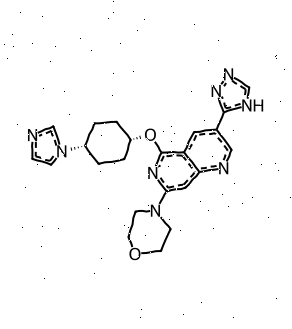 c1cn([C@H]2CC[C@@H](Oc3nc(N4CCOCC4)cc4ncc(-c5nnc[nH]5)cc34)CC2)cn1